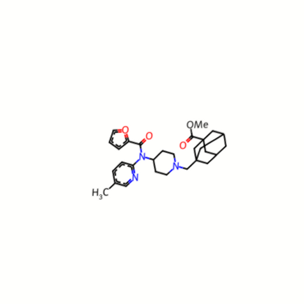 COC(=O)C12CC3CC(CC(CN4CCC(N(C(=O)c5ccco5)c5ccc(C)cn5)CC4)(C3)C1)C2